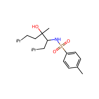 Cc1ccc(S(=O)(=O)NC(CC(C)C)C(C)(O)CCC(C)C)cc1